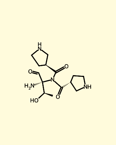 C[C@@H](O)[C@@](N)(C=O)N(C(=O)[C@@H]1CCNC1)C(=O)[C@H]1CCNC1